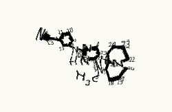 CN(c1ccnc(Nc2cccc(C#N)c2)n1)[C@H]1CCCN2CCCC[C@H]12